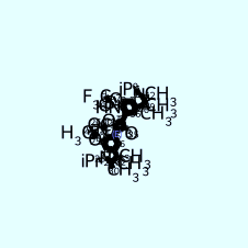 CC(C)N1c2cc(NS(=O)(=O)C(F)(F)F)c(C3=C([O-])/C(=c4/cc5c(cc4N(C)S(C)(=O)=O)=[N+](C(C)C)C(C)C5(C)C)C3=O)cc2C(C)(C)C1C